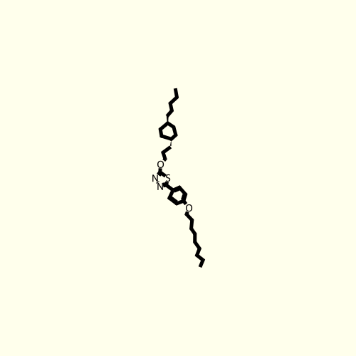 CCCCCCCCCOc1ccc(-c2nnc(OCCC[C@H]3CC[C@H](CCCCC)CC3)s2)cc1